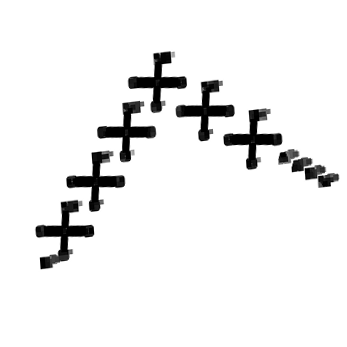 [Al+3].[Al+3].[NH-]S(=O)(=O)[O-].[NH-]S(=O)(=O)[O-].[NH-]S(=O)(=O)[O-].[NH-]S(=O)(=O)[O-].[NH-]S(=O)(=O)[O-].[NH-]S(=O)(=O)[O-].[Ni+2].[Ni+2].[Ni+2]